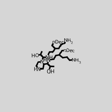 CCCCCCCCCCCC(CCCN)CCNC(C(C)O)C1CNCCN1C(NCCC(CCCN)CCCCCCCCCCC)C(C)O